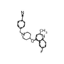 Cc1cc(OC2CCN(Cc3ccc(C#N)cc3)CC2)c2cc(F)ccc2n1